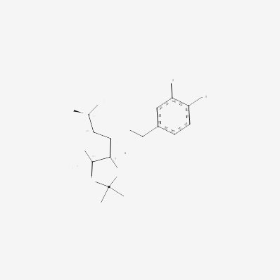 CCCCc1ccc(CO[C@@H]2[C@H]3OC(C)(C)O[C@H]3O[C@@H]2[C@H](O)CC)cc1CCCC